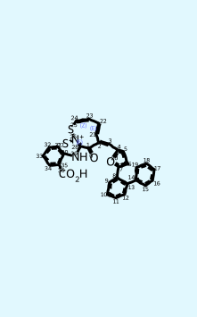 O=C1C(=Cc2ccc(-c3ccccc3-c3ccccc3)o2)/C=C/C=C\S/[N+]([S-])=C\1Nc1ccccc1C(=O)O